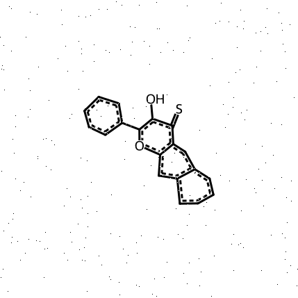 Oc1c(-c2ccccc2)oc2cc3ccccc3cc2c1=S